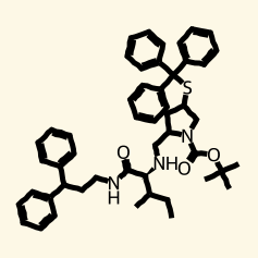 CCC(C)[C@H](NCC1CC(SC(c2ccccc2)(c2ccccc2)c2ccccc2)CN1C(=O)OC(C)(C)C)C(=O)NCCC(c1ccccc1)c1ccccc1